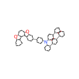 c1ccc(-c2ccc(-c3ccccc3N(c3ccc(-c4ccccc4)cc3)c3ccc(-c4ccc5c(c4)oc4ccc6oc7ccccc7c6c45)cc3)cc2)cc1